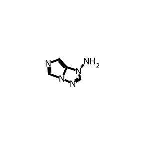 Nn1cnn2cncc12